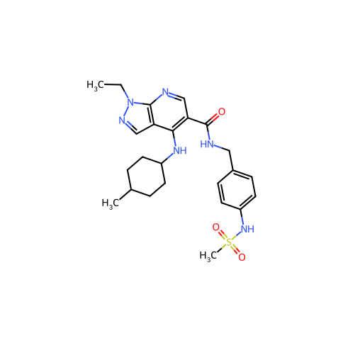 CCn1ncc2c(NC3CCC(C)CC3)c(C(=O)NCc3ccc(NS(C)(=O)=O)cc3)cnc21